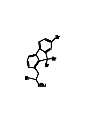 CCCCC(Br)Cc1cccc2c1C(Br)(Br)c1cc(Br)ccc1-2